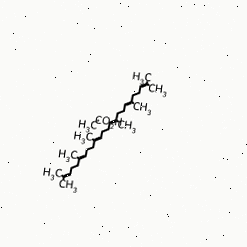 CC(=O)O.CC(C)=CCC/C(C)=C/CC/C(C)=C/CC/C=C(\C)CC/C=C(\C)CCC=C(C)C